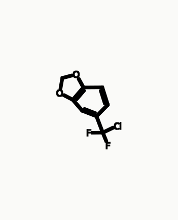 FC(F)(Cl)c1ccc2c(c1)OCO2